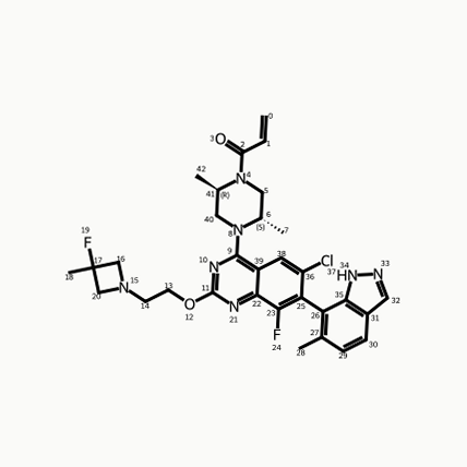 C=CC(=O)N1C[C@H](C)N(c2nc(OCCN3CC(C)(F)C3)nc3c(F)c(-c4c(C)ccc5cn[nH]c45)c(Cl)cc23)C[C@H]1C